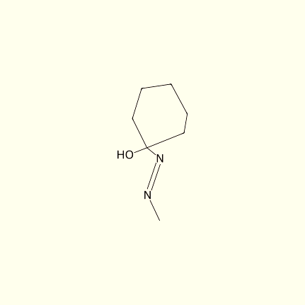 C/N=N/C1(O)CCCCC1